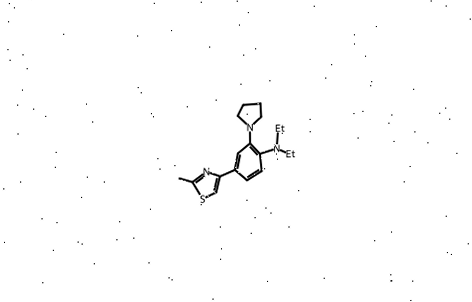 CCN(CC)c1ccc(-c2csc(C)n2)cc1N1CCCC1